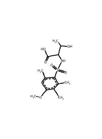 COc1cc(C)c(S(=O)(=O)NC(C(=O)O)C(C)O)c(C)c1C